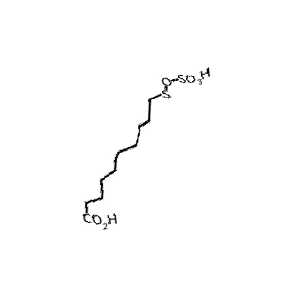 O=C(O)CCCCCCCCCSOS(=O)(=O)O